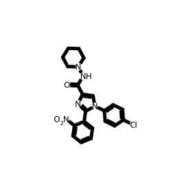 O=C(NN1CCCCC1)c1cn(-c2ccc(Cl)cc2)c(-c2ccccc2[N+](=O)[O-])n1